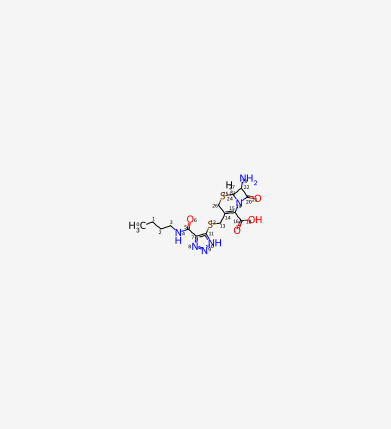 CCCCNC(=O)c1nn[nH]c1SCC1=C(C(=O)O)N2C(=O)C(N)[C@@H]2SC1